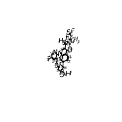 CC(C)(CC(F)(F)F)NC(=O)c1cn(-c2ncc(F)cc2F)c2nc(N3C[C@@H](O)CC3=O)ccc2c1=O